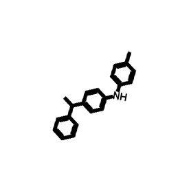 Cc1ccc(Nc2ccc(C(C)c3ccccc3)cc2)cc1